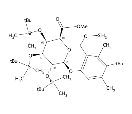 COC(=O)[C@H]1O[C@@H](Oc2cc(C)c(C(C)(C)C)c(C)c2CO[SiH3])[C@H](O[Si](C)(C)C(C)(C)C)[C@@H](O[Si](C)(C)C(C)(C)C)[C@H]1O[Si](C)(C)C(C)(C)C